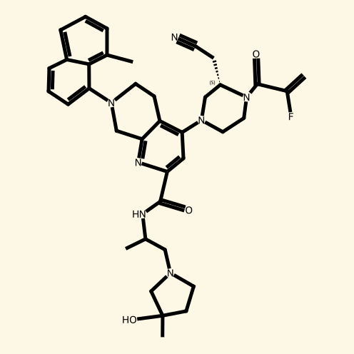 C=C(F)C(=O)N1CCN(c2cc(C(=O)NC(C)CN3CCC(C)(O)C3)nc3c2CCN(c2cccc4cccc(C)c24)C3)C[C@@H]1CC#N